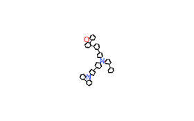 c1ccc(-c2cccc(N(c3ccc(-c4ccc(-n5c6ccccc6c6ccccc65)cc4)cc3)c3ccc(-c4cccc(-c5cccc6oc7ccccc7c56)c4)cc3)c2)cc1